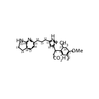 COC1=C(F)C=C(C(CC(=O)O)c2cc(CCCc3ccc4c(n3)NCCC4)[nH]n2)C(C)C1